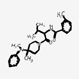 Cc1cccc(C(=O)NC(C(=O)N2CCC(C)(N(C)c3ccccc3)CC2)C(C)C)c1